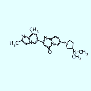 Cc1cn2cc(-c3cc(=O)n4cc(N5CC[C@@H](N(C)C)C5)ccc4n3)cc(C)c2n1